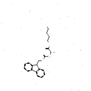 CCCC[C@@H](NC(=O)OCC1c2ccccc2-c2ccccc21)C(=O)OCCCCC(F)(F)F